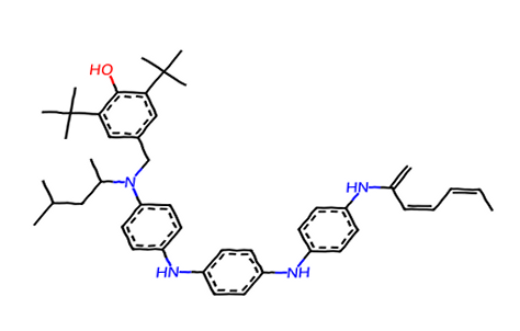 C=C(/C=C\C=C/C)Nc1ccc(Nc2ccc(Nc3ccc(N(Cc4cc(C(C)(C)C)c(O)c(C(C)(C)C)c4)C(C)CC(C)C)cc3)cc2)cc1